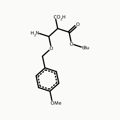 COc1ccc(COC(N)C(C(=O)O)C(=O)OC(C)(C)C)cc1